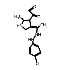 CC(NNc1ccc(Cl)cc1)=C1CNC(C)C1C(=O)C=O